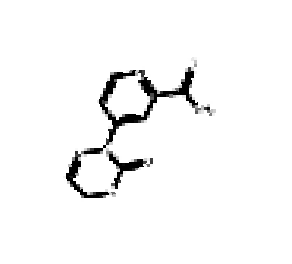 NC(=O)c1cc(N2N=CCSC2=O)ccn1